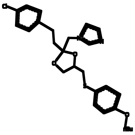 CCCCOc1ccc(SCC2COC(CCc3ccc(Cl)cc3)(Cn3ccnc3)O2)cc1